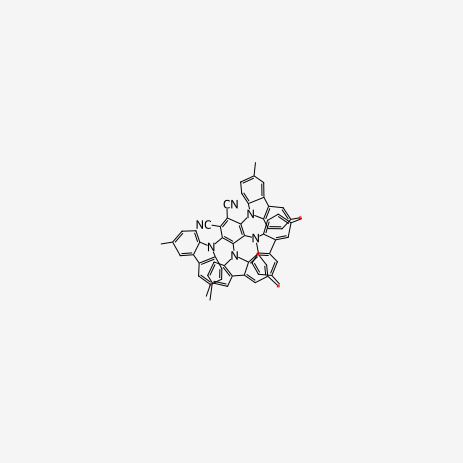 Cc1ccc2c(c1)c1cc(C)ccc1n2-c1c(C#N)c(C#N)c(-n2c3ccc(C)cc3c3cc(C)ccc32)c(-n2c3ccc(C)cc3c3cc(C)ccc32)c1-n1c2ccc(C)cc2c2cc(C)ccc21